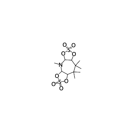 CN1C2OS(=O)(=O)OC2C(C)(C)C(C)(C)C2OS(=O)(=O)OC21